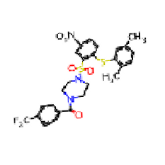 Cc1ccc(C)c(Sc2ccc([N+](=O)[O-])cc2S(=O)(=O)N2CCN(C(=O)c3ccc(C(F)(F)F)cc3)CC2)c1